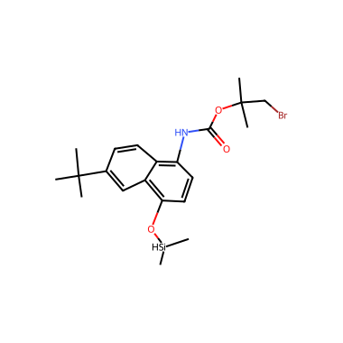 C[SiH](C)Oc1ccc(NC(=O)OC(C)(C)CBr)c2ccc(C(C)(C)C)cc12